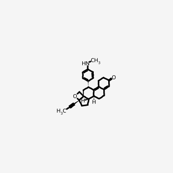 CC#C[C@]12CC[C@H]3[C@@H]4CCC5=CC(=O)CCC5=C4[C@@H](c4ccc(NC)cc4)C[C@@]31CO2